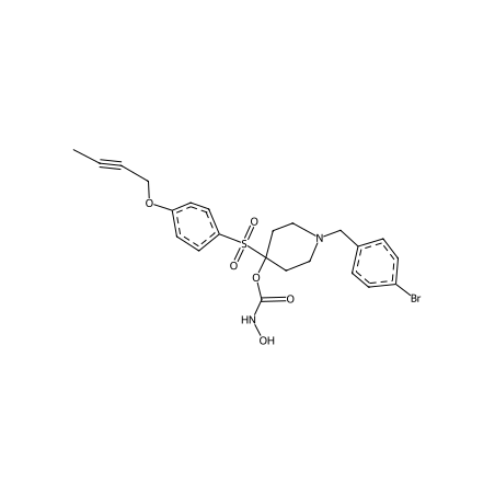 CC#CCOc1ccc(S(=O)(=O)C2(OC(=O)NO)CCN(Cc3ccc(Br)cc3)CC2)cc1